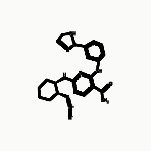 [N-]=[N+]=N[C@H]1CCCC[C@H]1Nc1ncc(C(N)=O)c(Nc2cccc(N3N=CCN3)c2)n1